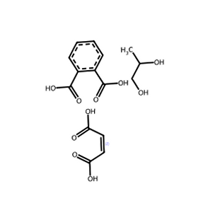 CC(O)CO.O=C(O)/C=C\C(=O)O.O=C(O)c1ccccc1C(=O)O